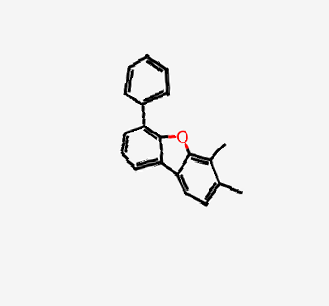 Cc1ccc2c(oc3c(-c4ccccc4)cccc32)c1C